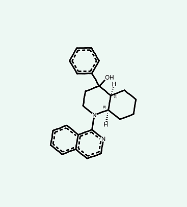 OC1(c2ccccc2)CCN(c2nccc3ccccc23)[C@@H]2CCCC[C@@H]21